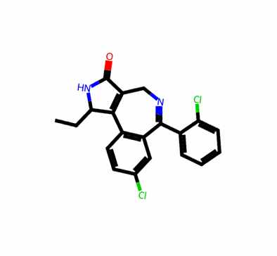 CCC1NC(=O)C2=C1c1ccc(Cl)cc1C(c1ccccc1Cl)=NC2